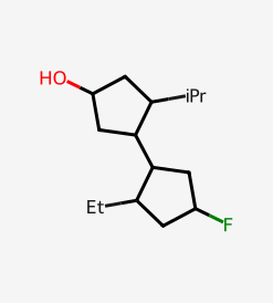 CCC1CC(F)CC1C1CC(O)CC1C(C)C